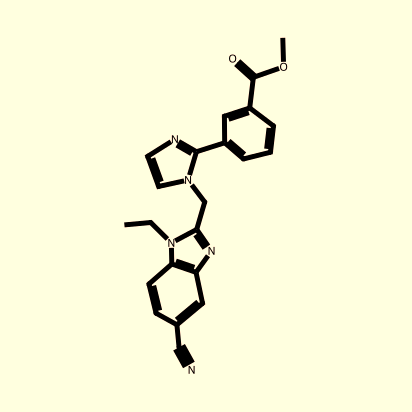 CCn1c(Cn2ccnc2-c2cccc(C(=O)OC)c2)nc2cc(C#N)ccc21